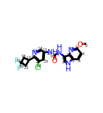 COc1ccc2[nH]cc(NC(=O)Nc3cnc(C4CC(F)(F)C4)c(Cl)c3)c2n1